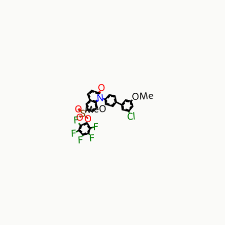 COc1cc(Cl)cc(-c2ccc(-n3c(=O)ccc4cc(S(=O)(=O)Oc5c(F)c(F)c(F)c(F)c5F)ccc43)c(OC)c2)c1